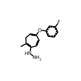 CC1=C(NN)C=CC(Oc2cccc(F)c2)=CC1